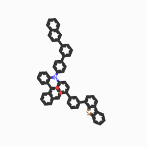 c1cc(-c2ccc(N(c3ccc(-c4cccc(-c5cccc6c5sc5ccccc56)c4)cc3)c3ccccc3-c3cccc4ccccc34)cc2)cc(-c2ccc3ccccc3c2)c1